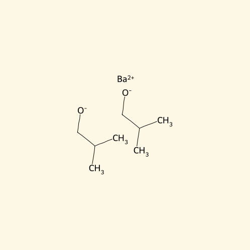 CC(C)C[O-].CC(C)C[O-].[Ba+2]